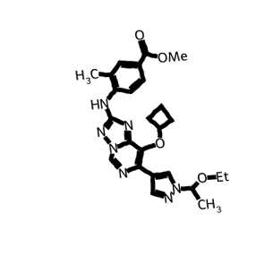 CCOC(C)n1cc(-c2ncn3nc(Nc4ccc(C(=O)OC)cc4C)nc3c2OC2CCC2)cn1